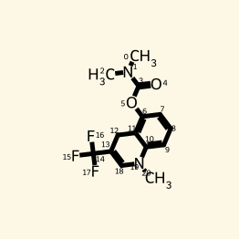 CN(C)C(=O)Oc1cccc2c1CC(C(F)(F)F)=CN2C